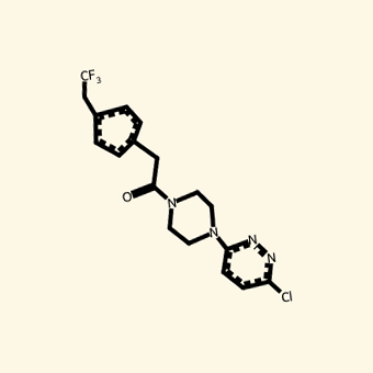 O=C(Cc1ccc(CC(F)(F)F)cc1)N1CCN(c2ccc(Cl)nn2)CC1